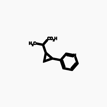 CC(C(=O)O)C1CC1c1cccnc1